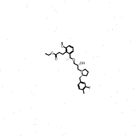 CCOC(=O)CCc1c(OC)cccc1[C@@H](C)OC[C@H](O)CN1CCC[C@H]1Cc1ccc(C)c(F)c1